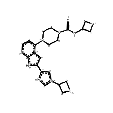 O=C(OC1COC1)N1CCN(c2ccnc3[nH]c(-c4cn(C5COC5)cn4)cc23)CC1